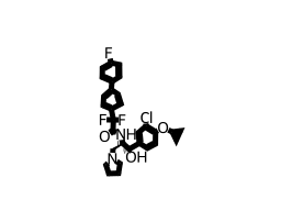 O=C(N[C@H](CN1CCCC1)[C@H](O)c1ccc(OC2CC2)c(Cl)c1)C(F)(F)c1ccc(-c2ccc(F)cc2)cc1